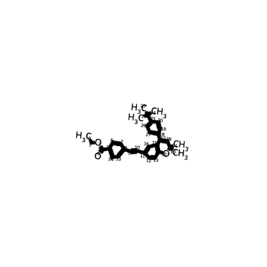 CCOC(=O)c1ccc(C#Cc2ccc3c(c2)C(c2ccc(C(C)(C)C)cc2)=CC(C)(C)O3)cc1